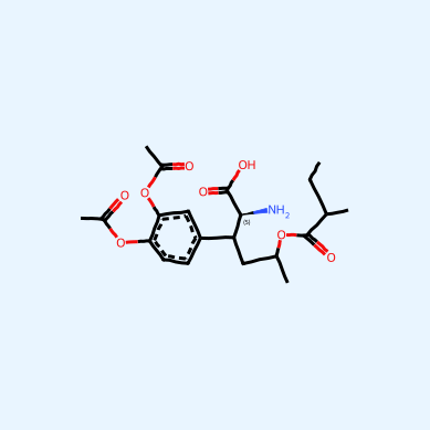 CCC(C)C(=O)OC(C)CC(c1ccc(OC(C)=O)c(OC(C)=O)c1)[C@H](N)C(=O)O